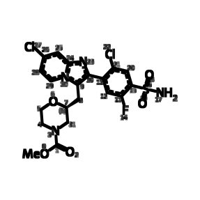 COC(=O)N1CCO[C@@H](Cc2c(-c3cc(F)c(S(N)(=O)=O)cc3Cl)nc3cc(Cl)ccn23)C1